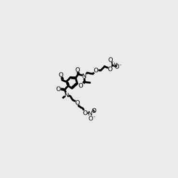 CC(=O)N(CCOCCO[N+](=O)[O-])C(=O)c1ccc(C(=O)N(C)CCOCCO[N+](=O)[O-])c(C=O)c1